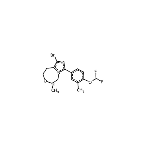 Cc1cc(-c2nc(Br)c3n2C[C@@H](C)OCC3)ccc1OC(F)F